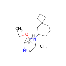 CCO[C@@H]1C2CN(C3CCCC4(CCC4)C3)C1(C)C=N2